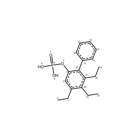 CCc1cc(OP(=O)(O)O)c(-c2ccccc2)c(CC)c1CC